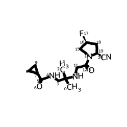 CC(C)(CNC(=O)C1CC1)NCC(=O)N1C[C@@H](F)C[C@H]1C#N